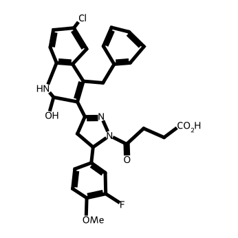 COc1ccc(C2CC(C3=C(Cc4ccccc4)c4cc(Cl)ccc4NC3O)=NN2C(=O)CCC(=O)O)cc1F